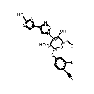 N#Cc1ccc(S[C@H]2O[C@H](CO)[C@H](O)[C@H](n3cc(-c4csc(O)n4)nn3)[C@H]2O)cc1Br